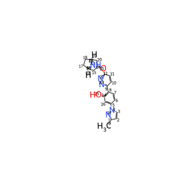 Cc1ccn(-c2ccc(-c3ccc(OC4C[C@H]5CC[C@@H](C4)N5)nn3)c(O)c2)n1